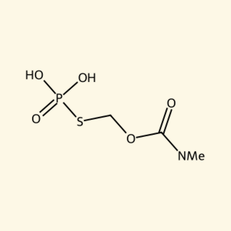 CNC(=O)OCSP(=O)(O)O